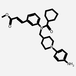 COC(=O)/C=C/c1cccc(N(CC2CCN(c3ccc(N)cc3)CC2)C(=O)C2CCCCC2)c1